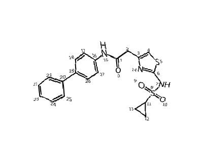 O=C(Cc1csc(NS(=O)(=O)C2CC2)n1)Nc1ccc(-c2ccccc2)cc1